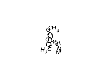 COc1ccc2c(c1)Oc1ccc(C)cc1C2NCCn1ccnc1